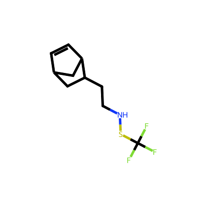 FC(F)(F)SNCCC1CC2C=CC1C2